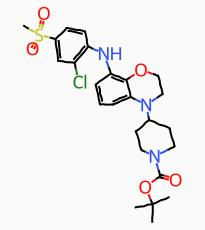 CC(C)(C)OC(=O)N1CCC(N2CCOc3c(Nc4ccc(S(C)(=O)=O)cc4Cl)cccc32)CC1